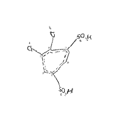 O=S(=O)(O)c1cc(Cl)c(Cl)c(S(=O)(=O)O)c1